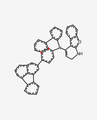 C1=C(N(c2ccc(-c3cc4c5c(cccc5c3)-c3ccccc3-4)cc2)c2ccccc2-c2ccccc2)c2c(oc3ccccc23)NC1